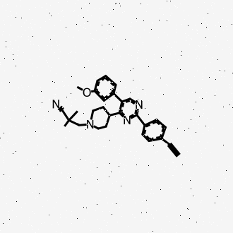 C#Cc1ccc(-c2ncc(-c3cccc(OC)c3)c(C3CCN(CC(C)(C)C#N)CC3)n2)cc1